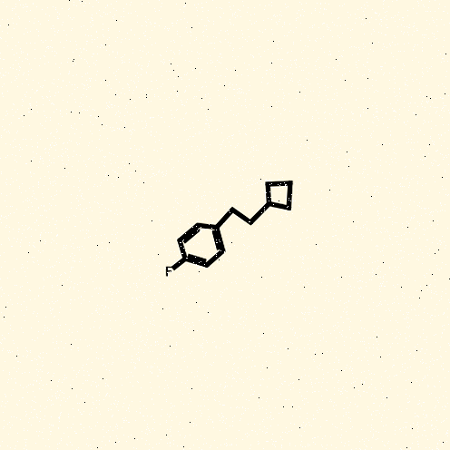 Fc1ccc(CCC2CCC2)cc1